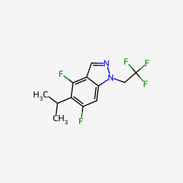 CC(C)c1c(F)cc2c(cnn2CC(F)(F)F)c1F